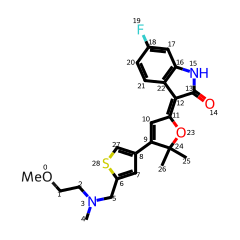 COCCN(C)Cc1cc(C2=CC(=C3C(=O)Nc4cc(F)ccc43)OC2(C)C)cs1